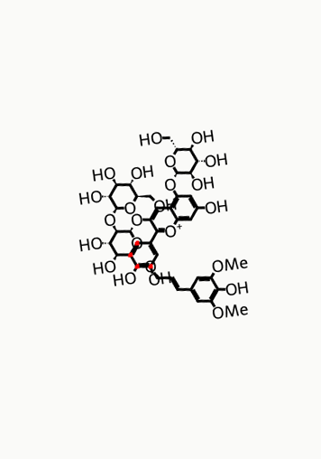 COc1cc(/C=C/COC[C@H]2O[C@@H](Oc3cc4c(O[C@@H]5O[C@H](CO)[C@@H](O)[C@H](O)[C@H]5O)cc(O)cc4[o+]c3-c3ccc(O)c(O)c3)[C@H](O[C@@H]3O[C@H](CO)[C@@H](O)[C@H](O)[C@H]3O)[C@@H](O)[C@@H]2O)cc(OC)c1O